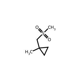 CC1(CS(C)(=O)=O)CC1